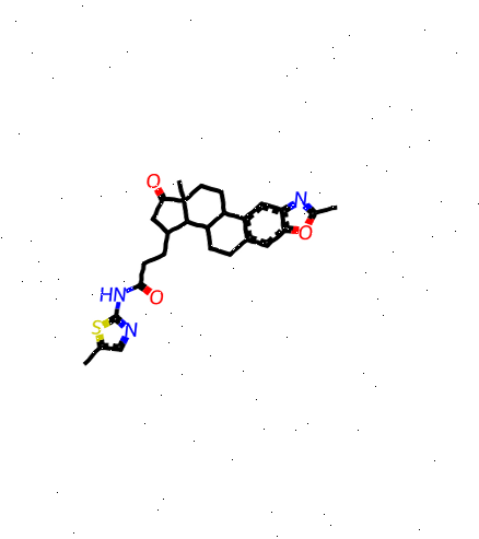 Cc1nc2cc3c(cc2o1)CCC1C3CCC2(C)C(=O)CC(CCC(=O)Nc3ncc(C)s3)C12